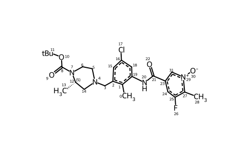 Cc1c(CN2CCN(C(=O)OC(C)(C)C)[C@@H](C)C2)cc(Cl)cc1NC(=O)c1cc(F)c(C)[n+]([O-])c1